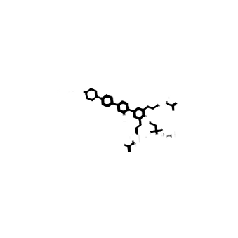 C=C(C)C(=O)OCCCc1cc(-c2ccc(-c3ccc(C4CCC(CCCCC)CC4)cc3)cc2CC)cc(CCCOC(=O)C(=C)C)c1OCCC(CO)(CO)CCCCC